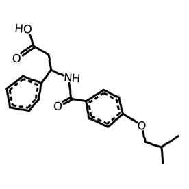 CC(C)COc1ccc(C(=O)NC(CC(=O)O)c2ccccc2)cc1